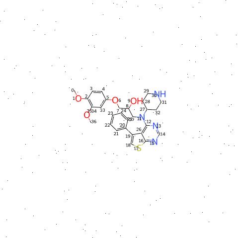 COc1ccc(OCC(O)CN(c2ncnc3scc(-c4ccccc4)c23)C2CCNCC2)cc1OC